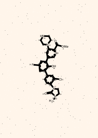 COC(=O)c1ncc(-c2cc(F)cc(-c3ccc(N4CCN(C)C4=O)c(Cl)c3)c2O)cc1N1CCNCC1